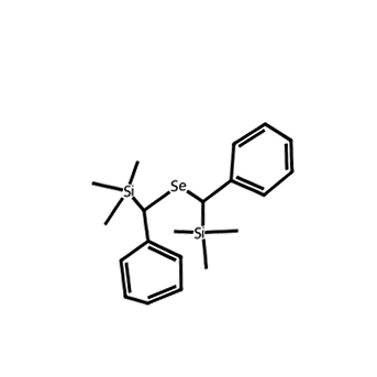 C[Si](C)(C)C([Se]C(c1ccccc1)[Si](C)(C)C)c1ccccc1